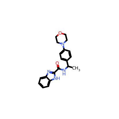 CC(NC(=O)c1nc2ccccc2[nH]1)c1ccc(N2CCOCC2)cc1